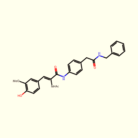 COc1cc(/C=C(\NC(C)=O)C(=O)Nc2ccc(CC(=O)NCc3ccccc3)cc2)ccc1O